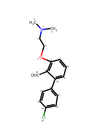 CN(C)CCOc1cccc(-c2ccc(Cl)cc2)c1C=O